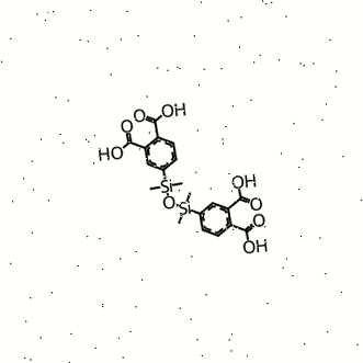 C[Si](C)(O[Si](C)(C)c1ccc(C(=O)O)c(C(=O)O)c1)c1ccc(C(=O)O)c(C(=O)O)c1